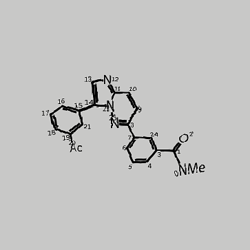 CNC(=O)c1cccc(-c2ccc3ncc(-c4cccc(C(C)=O)c4)n3n2)c1